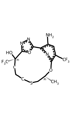 C[C@@H]1CSCCC[C@](O)(C(F)(F)F)c2nnc(o2)-c2nc(c(C(F)(F)F)cc2N)O1